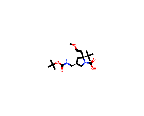 COC=C[C@@]1(C(C)(C)C)C[C@H](CNC(=O)OC(C)(C)C)CN1C(=O)O